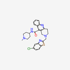 CN1CCC(NC(=O)c2c3c(nc4ccccc24)CCN(Cc2nc4cc(Cl)ccc4s2)C3)CC1